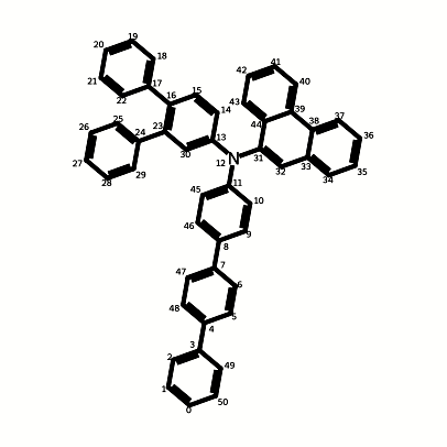 c1ccc(-c2ccc(-c3ccc(N(c4ccc(-c5ccccc5)c(-c5ccccc5)c4)c4cc5ccccc5c5ccccc45)cc3)cc2)cc1